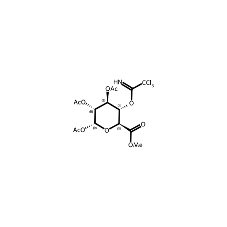 COC(=O)[C@H]1O[C@H](OC(C)=O)[C@H](OC(C)=O)[C@@H](OC(C)=O)[C@@H]1OC(=N)C(Cl)(Cl)Cl